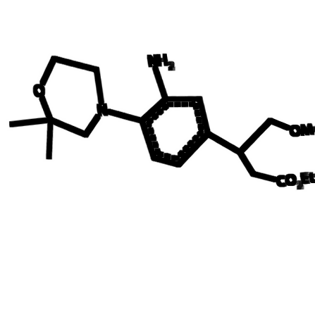 CCOC(=O)CC(COC)c1ccc(N2CCOC(C)(C)C2)c(N)c1